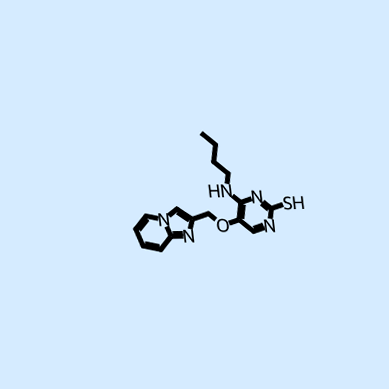 CCCCNc1nc(S)ncc1OCc1cn2ccccc2n1